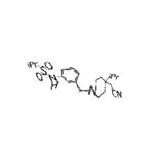 CC(C)C1(CC#N)CCN(Cc2cccc(NS(=O)(=O)C(C)C)c2)CC1